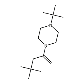 C=C(CC(C)(C)C)N1CCN(C(C)(C)C)CC1